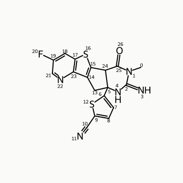 CN1C(=N)NC2(c3ccc(C#N)s3)Cc3c(sc4cc(F)cnc34)C2C1=O